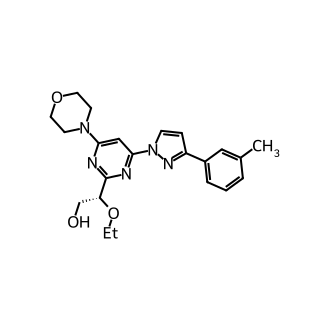 CCO[C@H](CO)c1nc(N2CCOCC2)cc(-n2ccc(-c3cccc(C)c3)n2)n1